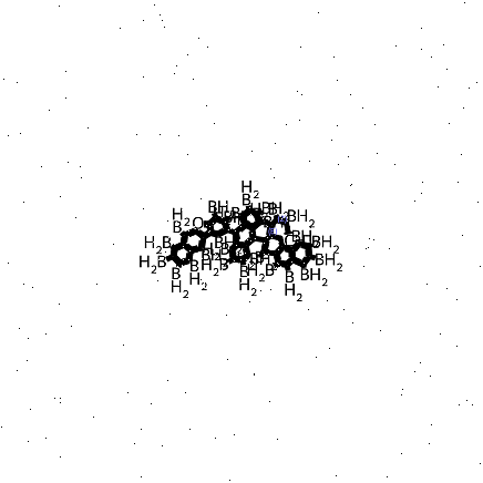 BC1=C(c2c3c(B)c(B)c(B)c(B)c3c(-c3c(B)c(B)c4oc5c(B)c6c(B)c(B)c(B)c(B)c6c(B)c5c4c3B)c3c(B)c(B)c(B)c(B)c23)/C(=C(B)/C(B)=C(/B)C#C)Cc2c1c(B)c(B)c1c(B)c(B)c(B)c(B)c21